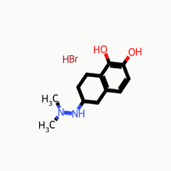 Br.CN(C)NC1CCc2c(ccc(O)c2O)C1